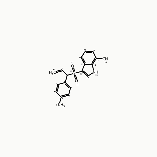 C=CC(c1ccc(C)cc1)S(=O)(=O)c1c[nH]c2c(C#N)cccc12